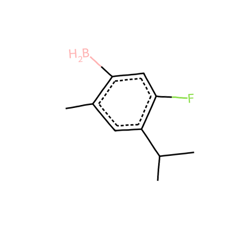 Bc1cc(F)c(C(C)C)cc1C